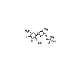 Cc1cn([C@H]2C[C@H](O)[C@@H](COP(=O)(O)O)O2)c(=O)[nH]c1=O.[LiH]